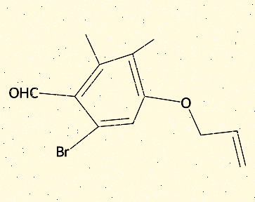 C=CCOc1cc(Br)c(C=O)c(C)c1C